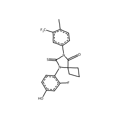 Cc1ccc(N2C(=O)C3(CCC3)N(c3ccc(O)cc3F)C2=S)cc1C(F)(F)F